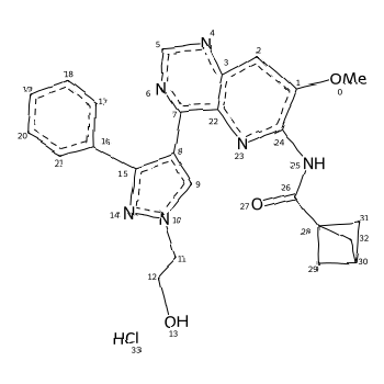 COc1cc2ncnc(-c3cn(CCO)nc3-c3ccccc3)c2nc1NC(=O)C12CC(C1)C2.Cl